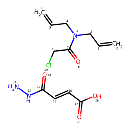 C=CCN(CC=C)C(=O)CCl.NNC(=O)C=CC(=O)O